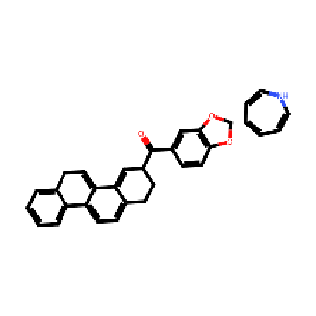 C1=CC=CNC=C1.O=C(c1ccc2c(c1)OCO2)C1C=c2c(ccc3c2=CCc2ccccc2-3)CC1